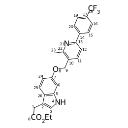 CCOC(=O)Cc1c[nH]c2cc(OCc3ccc(-c4ccc(C(F)(F)F)cc4)nc3C)ccc12